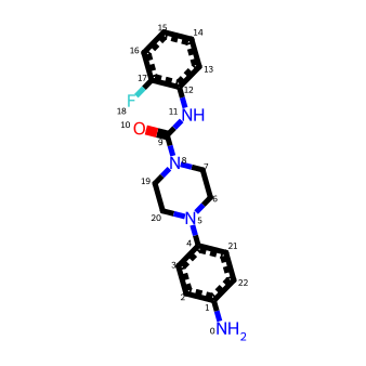 Nc1ccc(N2CCN(C(=O)Nc3ccccc3F)CC2)cc1